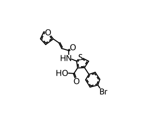 O=C(C=Cc1ccco1)Nc1scc(-c2ccc(Br)cc2)c1C(=O)O